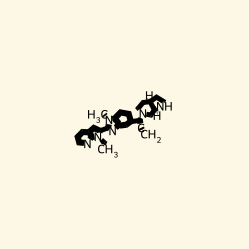 C=C=C(c1ccc2c(c1)nc(-c1cc3cccnc3n1CC)n2C)N1CC[C@@H]2CCN[C@@H]2C1